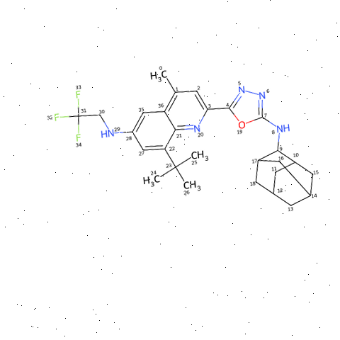 Cc1cc(-c2nnc(NC3C4CC5CC(C4)CC3C5)o2)nc2c(C(C)(C)C)cc(NCC(F)(F)F)cc12